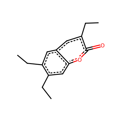 CCc1cc2cc(CC)c(=O)oc2cc1CC